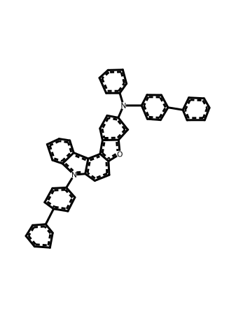 c1ccc(-c2ccc(N(c3ccccc3)c3ccc4c(c3)oc3ccc5c(c6ccccc6n5-c5ccc(-c6ccccc6)cc5)c34)cc2)cc1